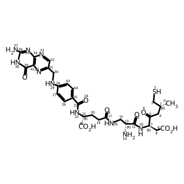 C[C@@H](CS)CC(=O)[C@@H](CC(=O)O)NC(=O)[C@H](N)CNC(=O)CC[C@@H](NC(=O)c1ccc(NCc2cnc3nc(N)[nH]c(=O)c3n2)cc1)C(=O)O